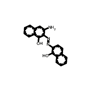 Nc1cc2ccccc2c(O)c1N=Nc1ccc2ccccc2c1O